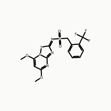 COc1cc(OC)n2sc(=NS(=O)(=O)Cc3ccccc3C(F)(F)F)nc2n1